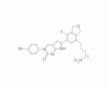 CC(C)c1ccc(-n2cc3cc(-c4cc(CCC[C@H](C)N)c5c(c4F)COC5)[nH]c3nc2=O)cc1